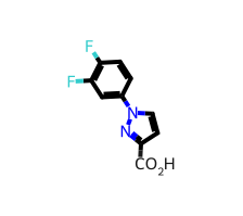 O=C(O)c1ccn(-c2ccc(F)c(F)c2)n1